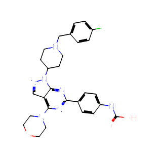 O=C(O)Nc1ccc(-c2nc(N3CCOCC3)c3cnn(C4CCN(Cc5ccc(Cl)cc5)CC4)c3n2)cc1